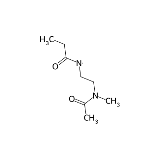 CCC(=O)[N]CCN(C)C(C)=O